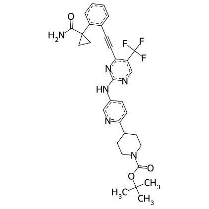 CC(C)(C)OC(=O)N1CCC(c2ccc(Nc3ncc(C(F)(F)F)c(C#Cc4ccccc4C4(C(N)=O)CC4)n3)cn2)CC1